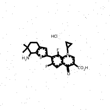 CC1(C)CCc2cc(-c3c(F)cc4c(=O)c(C(=O)O)cn(C5CC5)c4c3F)sc2C1N.Cl